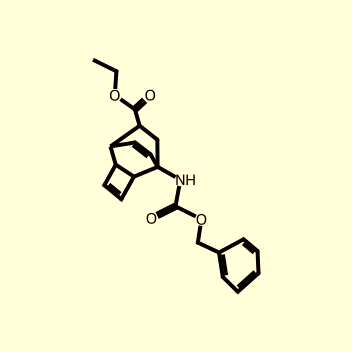 CCOC(=O)C1CC2(NC(=O)OCc3ccccc3)C=CC1C1C=CC12